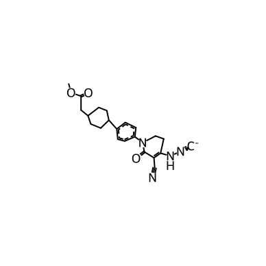 [C-]#[N+]NC1=C(C#N)C(=O)N(c2ccc(C3CCC(CC(=O)OC)CC3)cc2)CC1